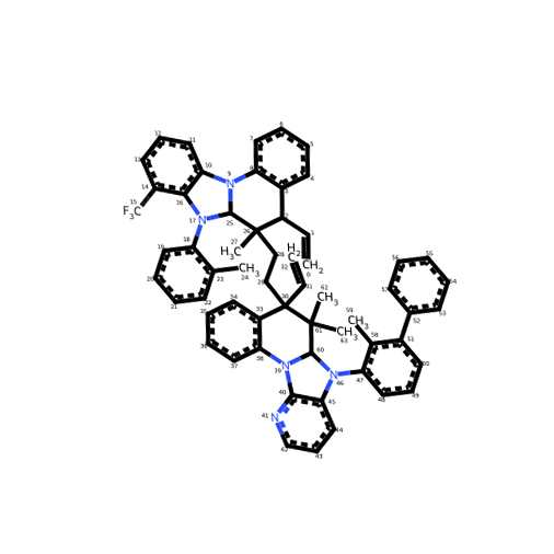 C=CC1c2ccccc2N2c3cccc(C(F)(F)F)c3N(c3ccccc3C)C2C1(C)CCC1(C=C)c2ccccc2N2c3ncccc3N(c3cccc(-c4ccccc4)c3C)C2C1(C)C